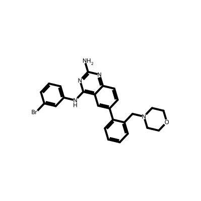 Nc1nc(Nc2cccc(Br)c2)c2cc(-c3ccccc3CN3CCOCC3)ccc2n1